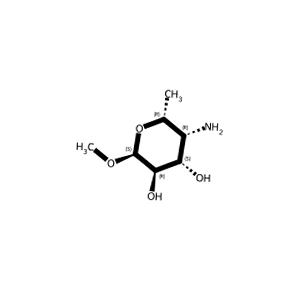 CO[C@H]1O[C@H](C)[C@H](N)[C@H](O)[C@H]1O